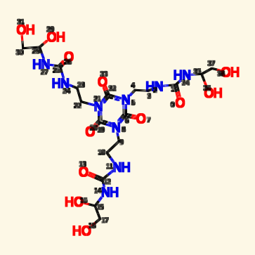 O=C(NCCn1c(=O)n(CCNC(=O)NC(O)CO)c(=O)n(CCNC(=O)NC(O)CO)c1=O)NC(O)CO